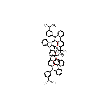 CC(C)c1cccc(N(c2ccccc2-c2ccc(C(C)(C)C)cc2)c2ccc3c4cc5c(cc4n4c6ccccc6c2c34)c2ccc(N(c3cccc(C(C)C)c3)c3ccccc3-c3ccc(C(C)(C)C)cc3)c3c4ccccc4n5c23)c1